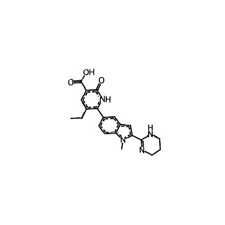 CCc1cc(C(=O)O)c(=O)[nH]c1-c1ccc2c(c1)cc(C1=NCCCN1)n2C